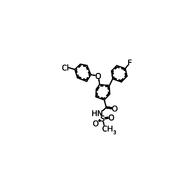 CS(=O)(=O)NC(=O)c1ccc(Oc2ccc(Cl)cc2)c(-c2ccc(F)cc2)c1